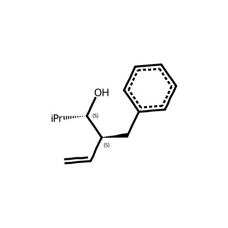 C=C[C@H](Cc1ccccc1)[C@@H](O)C(C)C